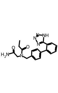 CCC(=O)N(CC(N)=O)Cc1ccc(-c2ccccc2-c2nnn[nH]2)cc1